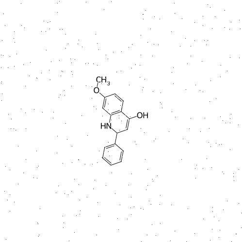 COc1ccc2c(c1)NC(c1ccccc1)C=C2O